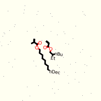 C=C(C)C(=O)OCCCCCCCCCCCCCCCCCC.C=CC(=O)OCC(CC)CCCC